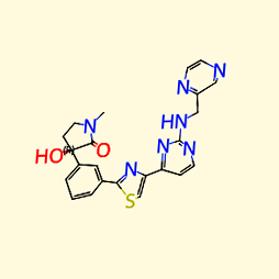 CN1CC[C@@](O)(c2cccc(-c3nc(-c4ccnc(NCc5cnccn5)n4)cs3)c2)C1=O